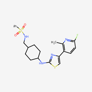 Cc1nc(F)ccc1-c1csc(NC2CCC(CNS(=O)(=O)C(C)C)CC2)n1